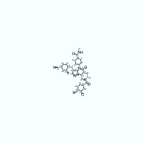 CNC(=O)c1ccc(-n2c(=O)c3c(n4ncc(Cc5ccc(C#N)cc5F)c24)CN(C(=O)c2ccc(Br)c(Cl)c2)CC3)cc1